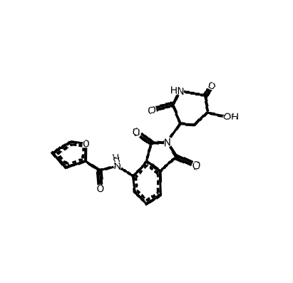 O=C(Nc1cccc2c1C(=O)N(C1CC(O)C(=O)NC1=O)C2=O)c1ccco1